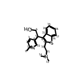 Cc1ccc(C(CO)c2c(CCN(C)C)sc3ccccc23)cn1